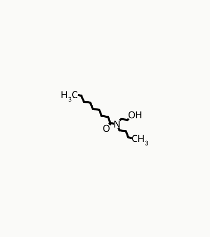 CCCCCCCCC(=O)N(CCO)CCCC